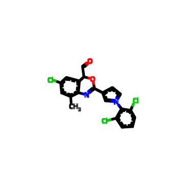 Cc1cc(Cl)cc2c1N=C(c1ccn(-c3c(Cl)cccc3Cl)c1)OC2C=O